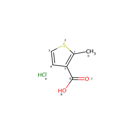 Cc1sccc1C(=O)O.Cl